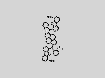 Cc1ccccc1C(c1ccc2ccc3c(N(c4ccccc4C)c4cccc5c4oc4c(C(C)(C)C)cccc45)ccc4ccc1c2c43)c1cccc2c1oc1c(C(C)(C)C)cccc12